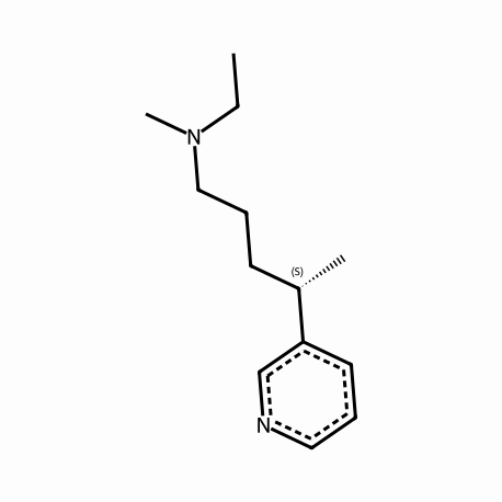 CCN(C)CCC[C@H](C)c1cccnc1